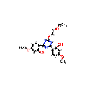 CCOCCOc1nc(-c2ccc(OC)cc2O)nc(-c2ccc(OC)cc2O)n1